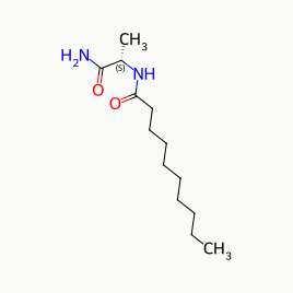 CCCCCCCCCC(=O)N[C@@H](C)C(N)=O